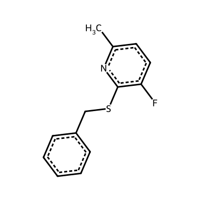 Cc1ccc(F)c(SCc2ccccc2)n1